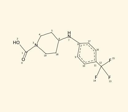 O=C(O)N1CCC(Nc2ccc(C(F)(F)F)cc2)CC1